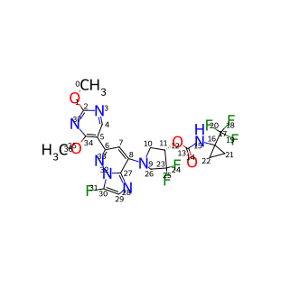 COc1ncc(-c2cc(N3C[C@H](OC(=O)NC4(C(F)(F)F)CC4)C(F)(F)C3)c3ncc(F)n3n2)c(OC)n1